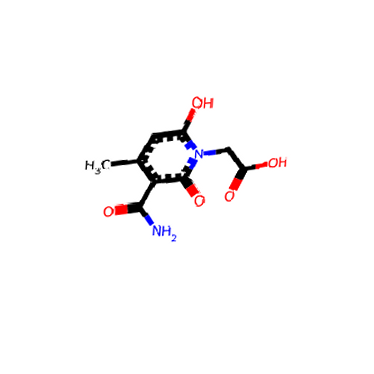 Cc1cc(O)n(CC(=O)O)c(=O)c1C(N)=O